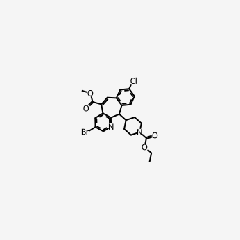 CCOC(=O)N1CCC(C2c3ccc(Cl)cc3C=C(C(=O)OC)c3cc(Br)cnc32)CC1